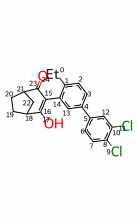 CCc1ccc(-c2ccc(Cl)c(Cl)c2)cc1C1=C(O)C2CCC(C2)C1=O